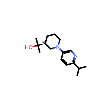 CC(C)c1ccc(N2CCC[C@H](C(C)(C)O)C2)cn1